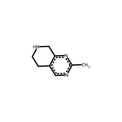 Cc1ncc2c(n1)CNCC2